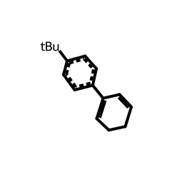 CC(C)(C)c1ccc(C2=CCCC=C2)cc1